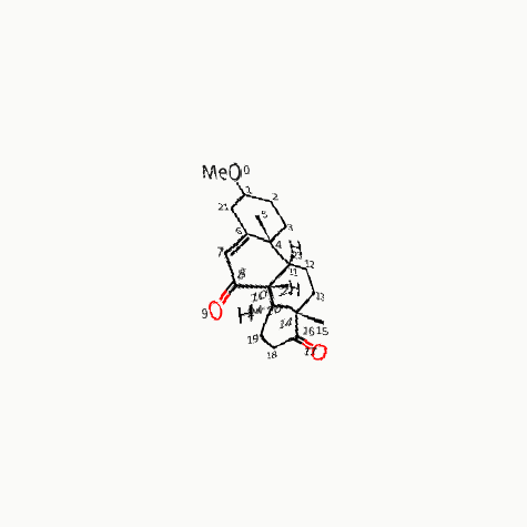 COC1CC[C@@]2(C)C(=CC(=O)[C@@H]3[C@H]2CC[C@]2(C)C(=O)CC[C@@H]32)C1